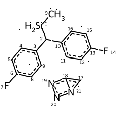 C[SiH2]C(c1ccc(F)cc1)c1ccc(F)cc1.c1c2nnn1-2